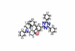 C1=CC2C(c3ccccc3N2c2ccccc2)c2c1oc1cc(-c3nc(-c4ccccc4)nc(-c4ccccc4)n3)cc(-c3ccccc3)c21